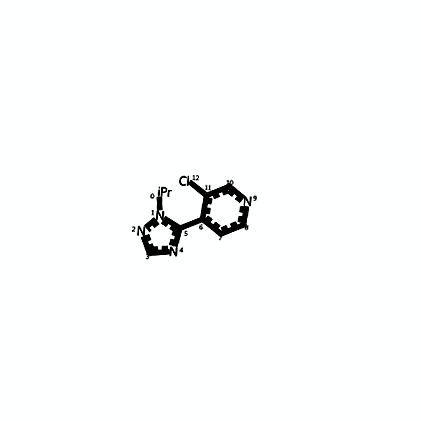 CC(C)n1ncnc1-c1ccncc1Cl